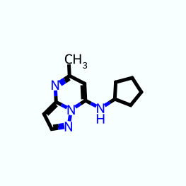 Cc1cc(NC2CCCC2)n2nccc2n1